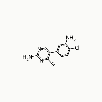 Nc1ncc(-c2ccc(Cl)c(N)c2)c([S])n1